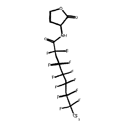 O=C1OCCC1NC(=O)C(F)(F)C(F)(F)C(F)(F)C(F)(F)C(F)(F)C(F)(F)C(F)(F)F